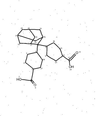 O=C(O)C1CCC(C2(C3CCC(C(=O)O)CC3)C3CC4CC(C3)CC2C4)CC1